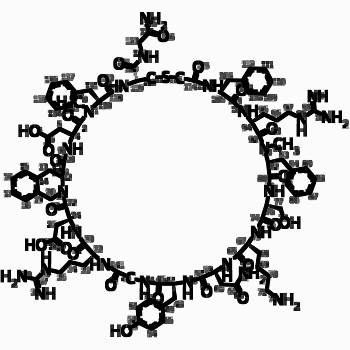 CN1C(=O)C(CC(=O)O)NC(=O)[C@@H]2Cc3ccccc3CN2C(=O)[C@H](CC(=O)O)NC(=O)[C@H](CCCNC(=N)N)NC(=O)CNC(=O)[C@H](Cc2ccc(O)cc2)NC(=O)[C@H](CC(N)=O)NC(=O)[C@H](CCCCN)NC(=O)[C@H](CO)NC(=O)[C@H](Cc2ccccc2)N(C)C(=O)[C@H](CCCNC(=N)N)NC(=O)[C@H](Cc2ccccc2)NC(=O)CSC[C@@H](C(=O)NCC(N)=O)NC(=O)[C@@H]1Cc1ccccc1